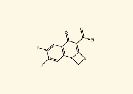 O=C(O)c1c2n(c3cc(Cl)c(F)cc3c1=O)CS2